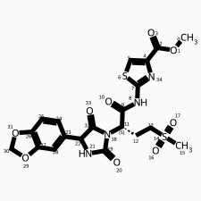 COC(=O)c1csc(NC(=O)[C@H](CCS(C)(=O)=O)N2C(=O)NC(c3ccc4c(c3)OCO4)C2=O)n1